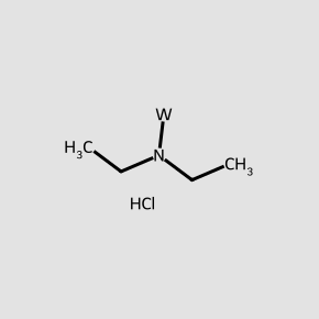 CC[N]([W])CC.Cl